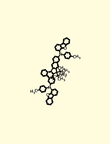 Cc1ccc(N(c2ccc3cc4c(cc3c2)C(C(C)(C)C)(C(C)(C)C)c2c-4c3ccccc3c3cc(N(c4ccc(C)cc4)c4cccc5c4oc4ccccc45)ccc23)c2cccc3c2oc2ccccc23)cc1